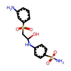 Nc1cccc(S(=O)(=O)CC(O)Nc2ccc(S(N)(=O)=O)cc2)c1